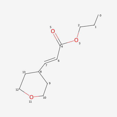 CCCOC(=O)C=CC1CCOCC1